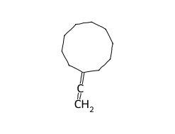 C=C=C1CCCCCCCCC1